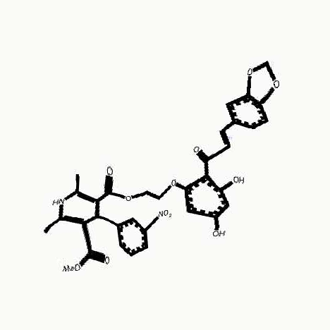 COC(=O)C1=C(C)NC(C)=C(C(=O)OCCOc2cc(O)cc(O)c2C(=O)/C=C/c2ccc3c(c2)OCO3)C1c1cccc([N+](=O)[O-])c1